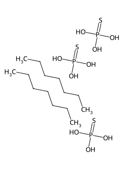 CCCCCCC.CCCCCCC.OP(O)(O)=S.OP(O)(O)=S.OP(O)(O)=S